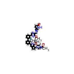 COc1nc(-c2cccc(-c3cccc(-c4cc5c(c(OC)n4)[C@@H](N4CCN(C(C)=O)CC4)CC5)c3C)c2F)cnc1CN1CC2(CCC(=O)N2)C1